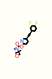 CN(C(=O)Oc1ccc(C#Cc2ccc(F)c(F)c2)cn1)C1(C)COC1